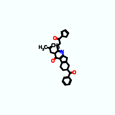 C=C(C)CC1C(=O)C2=C(CC3=C2CCC(C(=O)c2ccccc2)C3)N=C1CCC(=O)C1=CC=CC1